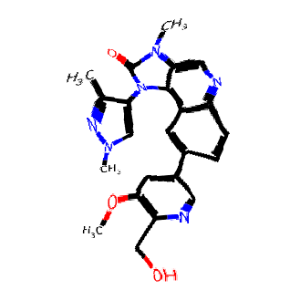 COc1cc(-c2ccc3ncc4c(c3c2)n(-c2cn(C)nc2C)c(=O)n4C)cnc1CO